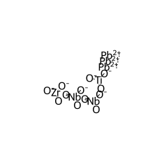 [O]=[Nb](=[O])[O-].[O]=[Nb](=[O])[O-].[O]=[Ti]([O-])[O-].[O]=[Zr]([O-])[O-].[Pb+2].[Pb+2].[Pb+2]